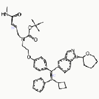 CNC(=O)/C=C/CN(CCOc1ccc(/C(=C(\c2ccccc2)C2CCC2)c2ccc3c(cnn3C3CCCCO3)c2)cc1)C(=O)OC(C)(C)C